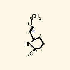 CO/C=C/C1CCCC(=O)N1